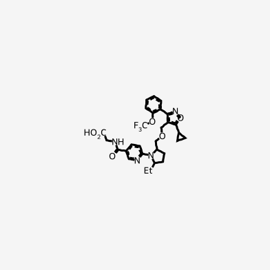 CCC1CCC(COCc2c(-c3ccccc3OC(F)(F)F)noc2C2CC2)N1c1ccc(C(=O)NCC(=O)O)cn1